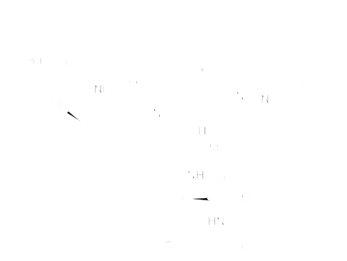 CCOc1nnc(O[C@@H]2C[C@H]3C(=O)N[C@]4(C(=O)NS(=O)(=O)C5CC5)C[C@H]4/C=C\CC[C@H](C)C[C@@H](C)[C@H](NC(=O)OC(C)(C)C)C(=O)N3C2)c2ccccc12